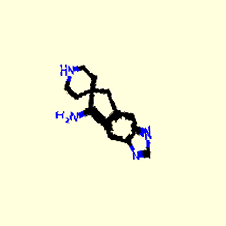 NC1=c2cc3c(cc2CC12CCNCC2)=NC=N3